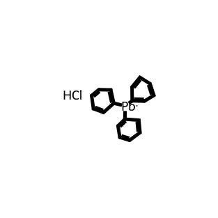 Cl.c1cc[c]([Pb]([c]2ccccc2)[c]2ccccc2)cc1